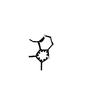 CC1=NCCc2sc(C)c(C)c21